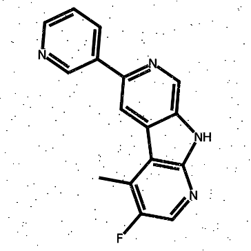 Cc1c(F)cnc2[nH]c3cnc(-c4cccnc4)cc3c12